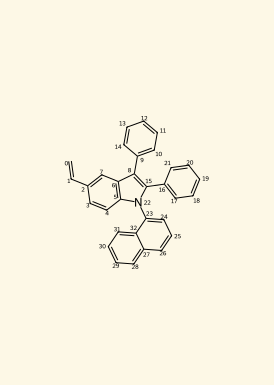 C=Cc1ccc2c(c1)c(-c1ccccc1)c(-c1ccccc1)n2-c1cccc2ccccc12